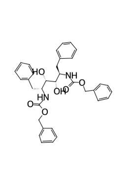 O=C(N[C@H](Cc1ccccc1)[C@H](O)[C@@H](O)[C@@H](Cc1ccccc1)NC(=O)OCc1ccccc1)OCc1ccccc1